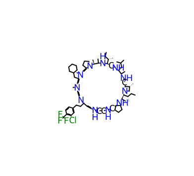 CC[C@H](C)[C@H]1C(C)NC2(CCCC2)CNCCNC=CC(CCc2ccc(C(F)(F)F)c(Cl)c2)=NC=CN(C)C=C(CC2CCCCC2)N(C)C=C2CCCN2[C@@H](C)C(C)N[C@@H]([C@@H](C)CC)CN[C@@H](CC(C)C)C(C)NCC2[C@H](C)CN21